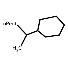 [CH2]C(CCCCC)C1CCCCC1